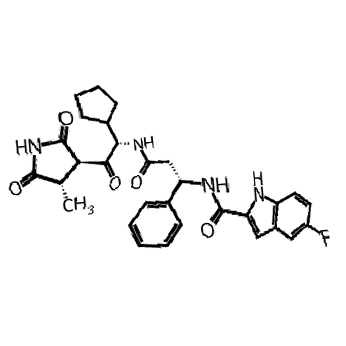 C[C@@H]1C(=O)NC(=O)[C@H]1C(=O)[C@@H](NC(=O)C[C@H](NC(=O)c1cc2cc(F)ccc2[nH]1)c1ccccc1)C1CCCC1